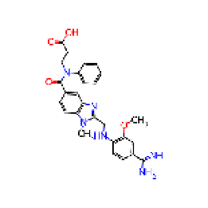 COc1cc(C(=N)N)ccc1NCc1nc2cc(C(=O)N(CCC(=O)O)c3ccccc3)ccc2n1C